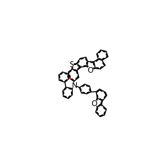 c1ccc(-c2ccccc2N(c2ccc(-c3cccc4c3oc3ccccc34)cc2)c2ccc3sc4ccc5c(oc6ccc7ccccc7c65)c4c3c2)cc1